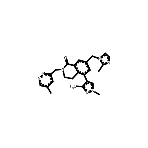 Cc1cnnc(CN2CCc3c(cc(Cn4ccnc4C)cc3-c3cn(C)nc3C(F)(F)F)C2=O)c1